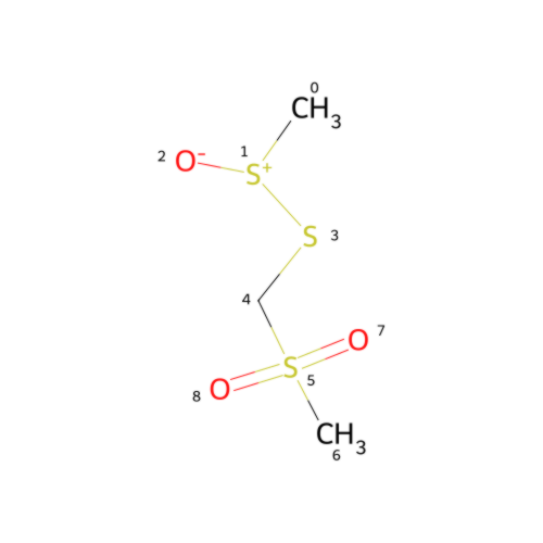 C[S+]([O-])SCS(C)(=O)=O